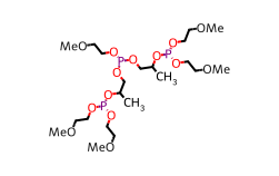 COCCOP(OCC(C)OP(OCCOC)OCCOC)OCC(C)OP(OCCOC)OCCOC